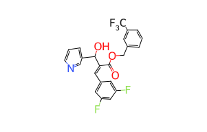 O=C(OCc1cccc(C(F)(F)F)c1)/C(=C\c1cc(F)cc(F)c1)C(O)c1cccnc1